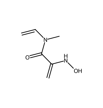 C=CN(C)C(=O)C(=C)NO